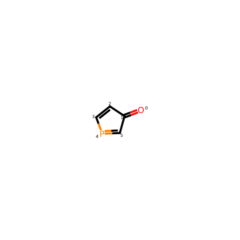 O=C1C=CP=C1